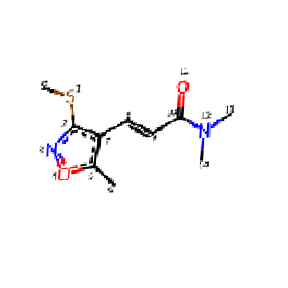 CSc1noc(C)c1C=CC(=O)N(C)C